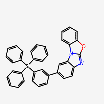 c1ccc([Si](c2ccccc2)(c2ccccc2)c2cccc(-c3ccc4nc5oc6ccccc6n5c4c3)c2)cc1